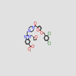 COC(=O)c1ccc2nc(CN3CCN(C(=O)c4ccc(OCc5ccc(Cl)cc5Cl)o4)CC3)n(C[C@@H]3CCO3)c2c1